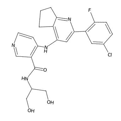 O=C(NC(CO)CO)c1cnccc1Nc1cc(-c2cc(Cl)ccc2F)nc2c1CCC2